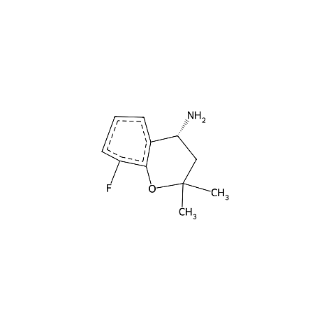 CC1(C)C[C@@H](N)c2cccc(F)c2O1